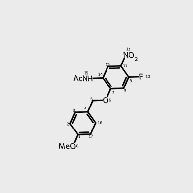 COc1ccc(COc2cc(F)c([N+](=O)[O-])cc2NC(C)=O)cc1